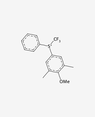 COc1c(C)cc([S+](c2ccccc2)C(F)(F)F)cc1C